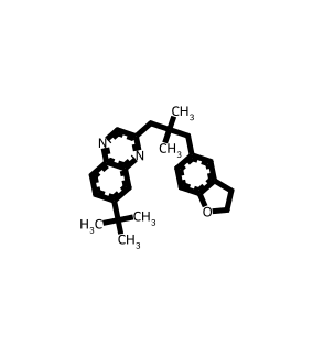 CC(C)(Cc1ccc2c(c1)CCO2)Cc1cnc2ccc(C(C)(C)C)cc2n1